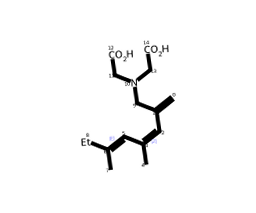 C=C(/C=C(C)\C=C(/C)CC)CN(CC(=O)O)CC(=O)O